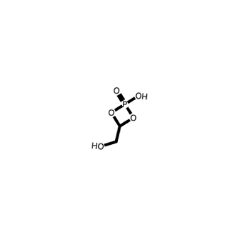 O=P1(O)OC(CO)O1